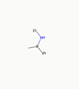 CCNB(C)C(C)C